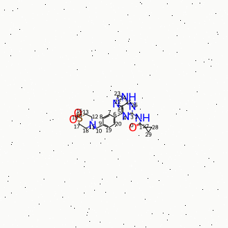 O=C(Nc1nc(-c2ccc(CN3CCS(=O)(=O)CC3)cc2)c2nc[nH]c2n1)C1CC1